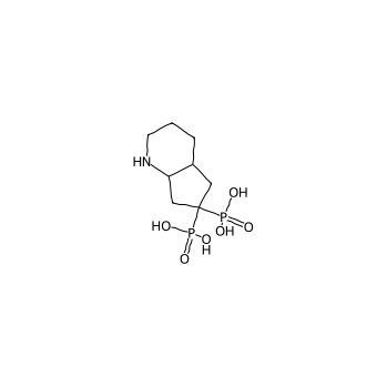 O=P(O)(O)C1(P(=O)(O)O)CC2CCCNC2C1